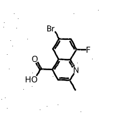 Cc1cc(C(=O)O)c2cc(Br)cc(F)c2n1